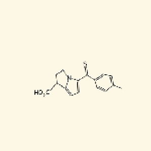 Cc1ccc(C(=S)c2ccc3n2CCC3C(=O)O)cc1